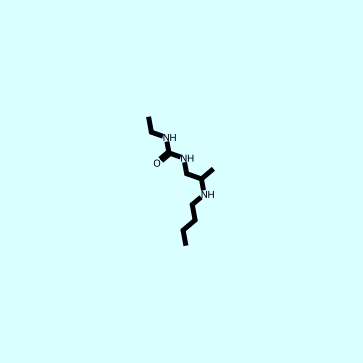 CCCCNC(C)CNC(=O)NCC